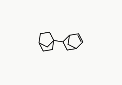 C1=CC2CC1CC2C12CCC(CC1)C2